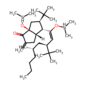 C=C1C[C@H]2[C@@H](C(=C[C@H](C[C@@H](C)CCCC)C(C)(C)C)O[SiH](C)C)[C@H](C(C)(C)C)C[C@@]2(O[SiH](C)C)C1=O